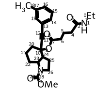 CCNC(=O)CCCC(=O)OC1(C#Cc2cccc(C)c2)CCCC2C1CCN2C(=O)OC